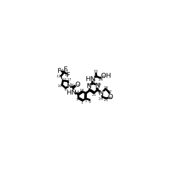 Cc1ccc(NC(=O)N2CC[C@@H](CC(F)(F)F)C2)cc1-c1cc(N2CCOCC2)nc(NC(C)CO)n1